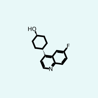 O[C@H]1CC[C@H](c2ccnc3ccc(F)cc32)CC1